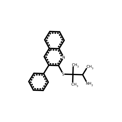 CC(N)C(C)(C)Sc1nc2ccccc2cc1-c1ccccc1